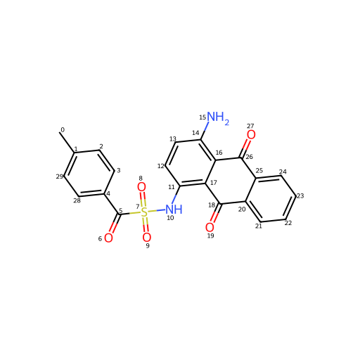 Cc1ccc(C(=O)S(=O)(=O)Nc2ccc(N)c3c2C(=O)c2ccccc2C3=O)cc1